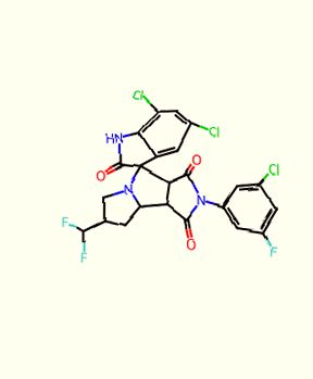 O=C1C2C3CC(C(F)F)CN3C3(C(=O)Nc4c(Cl)cc(Cl)cc43)C2C(=O)N1c1cc(F)cc(Cl)c1